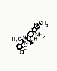 Cc1nc(N2CCC3(CC2)Cc2nn(C)cc2[C@H]3N)c(C2(O)CC2)nc1-c1cccc(Cl)c1Cl